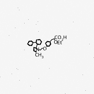 CCOC(Cc1ccc(OCCn2c(C)ccc2-c2ccccc2-c2ccccc2)cc1)C(=O)O